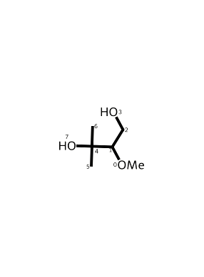 COC(CO)C(C)(C)O